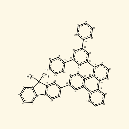 CC1(C)c2ccccc2-c2ccc(-c3ccc4c(c3)c3ccccc3c3cccc(-c5cc(-c6ccccc6)cc(-c6ccccc6)n5)c34)cc21